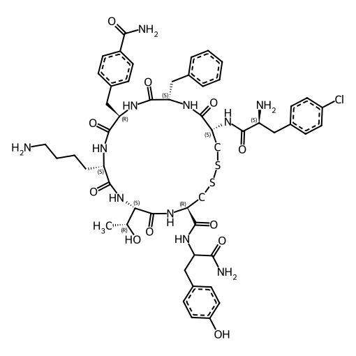 C[C@@H](O)[C@@H]1NC(=O)[C@H](CCCCN)NC(=O)[C@@H](Cc2ccc(C(N)=O)cc2)NC(=O)[C@H](Cc2ccccc2)NC(=O)[C@H](NC(=O)[C@@H](N)Cc2ccc(Cl)cc2)CSSC[C@@H](C(=O)NC(Cc2ccc(O)cc2)C(N)=O)NC1=O